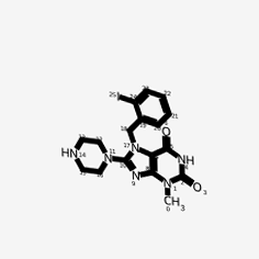 Cn1c(=O)[nH]c(=O)c2c1nc(N1CCNCC1)n2Cc1ccccc1I